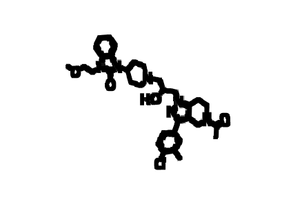 COCCn1c(=O)n(C2CCN(CC(O)Cn3nc(-c4ccc(Cl)c(C)c4)c4c3CCN(C(C)=O)C4)CC2)c2ccccc21